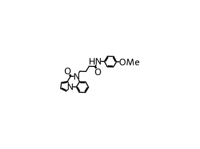 COc1ccc(NC(=O)CCCn2c(=O)c3cccn3c3ccccc32)cc1